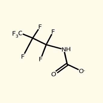 [O]C(=O)NC(F)(F)C(F)(F)C(F)(F)F